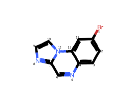 Brc1ccc2ncc3nccn3c2c1